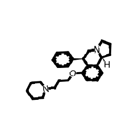 c1ccc([C@H]2CN3CCC[C@H]3c3cccc(OCCCN4CCCCC4)c32)cc1